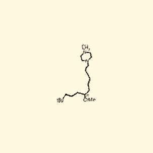 CO[C@H](CCCCCN1CCN(C)CC1)CCCC(C)(C)C